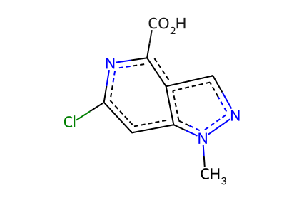 Cn1ncc2c(C(=O)O)nc(Cl)cc21